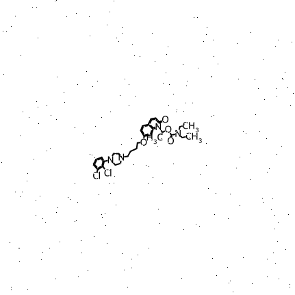 CCN(CC)C(=O)OC(C)n1c(=O)ccc2ccc(OCCCCN3CCN(c4cccc(Cl)c4Cl)CC3)cc21